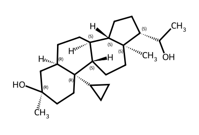 CC(O)[C@H]1CC[C@H]2[C@@H]3CC[C@@H]4C[C@](C)(O)CC[C@]4(C4CC4)[C@H]3CC[C@]12C